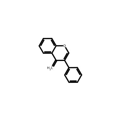 C=C1C(c2ccccc2)=COc2ccccc21